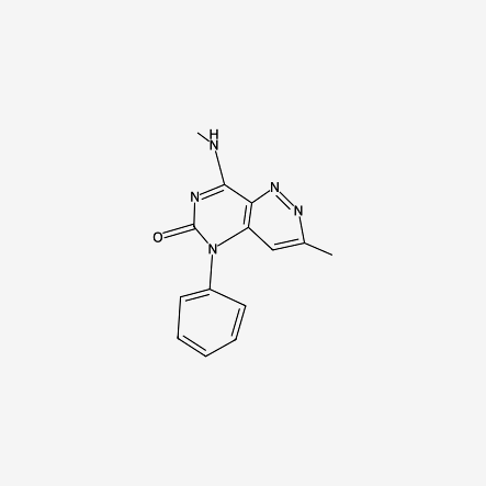 CNc1nc(=O)n(-c2ccccc2)c2cc(C)nnc12